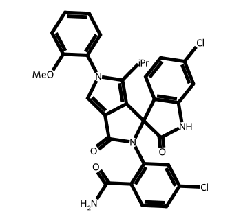 COc1ccccc1-n1cc2c(c1C(C)C)C1(C(=O)Nc3cc(Cl)ccc31)N(c1cc(Cl)ccc1C(N)=O)C2=O